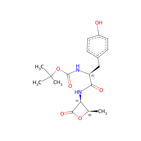 C[C@H]1OC(=O)[C@H]1NC(=O)[C@H](Cc1ccc(O)cc1)NC(=O)OC(C)(C)C